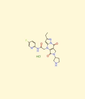 CCc1cc2n(CC(=O)Nc3ccc(F)cn3)c3c(c(=O)n2n1)CN(C1CCNC1)C3=O.Cl